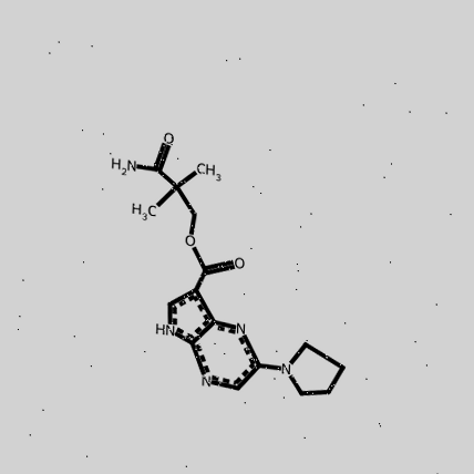 CC(C)(COC(=O)c1c[nH]c2ncc(N3CCCC3)nc12)C(N)=O